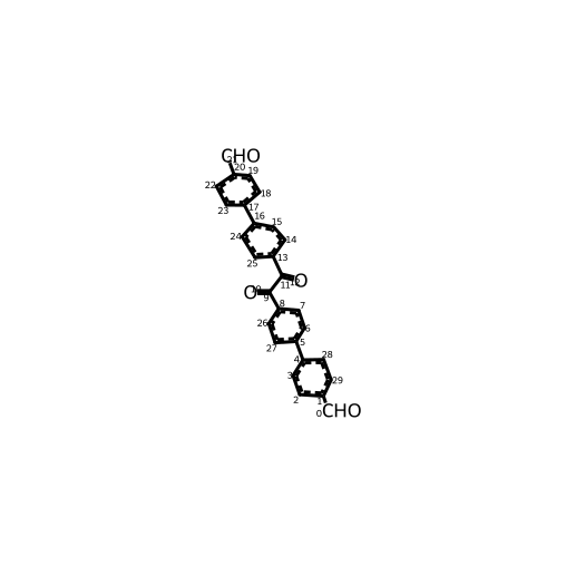 O=Cc1ccc(-c2ccc(C(=O)C(=O)c3ccc(-c4ccc(C=O)cc4)cc3)cc2)cc1